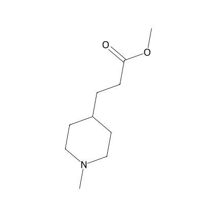 COC(=O)CCC1CCN(C)CC1